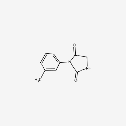 Cc1cccc(N2C(=O)CNC2=O)c1